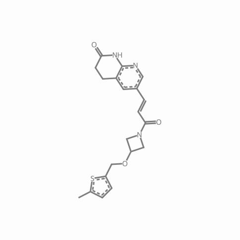 Cc1ccc(COC2CN(C(=O)C=Cc3cnc4c(c3)CCC(=O)N4)C2)s1